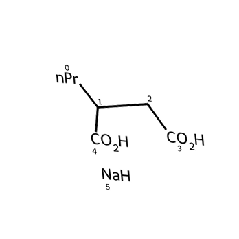 CCCC(CC(=O)O)C(=O)O.[NaH]